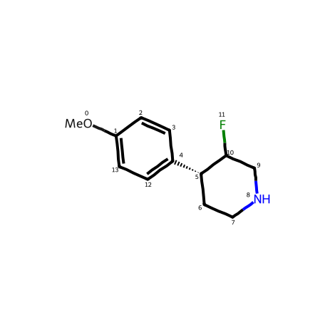 COc1ccc([C@H]2CCNCC2F)cc1